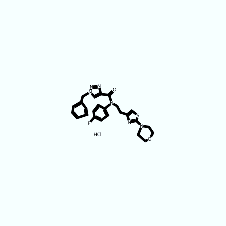 Cl.O=C(c1cn(Cc2ccccc2)nn1)N(CCc1csc(N2CCOCC2)n1)c1ccc(F)cc1